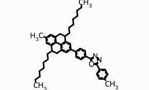 CCCCCCCCC1Cc2cc(-c3ccc(-c4nnc(-c5ccc(C)cc5)o4)cc3)cc3c2-c2c(cc(C)cc21)CC3CCCCCCCC